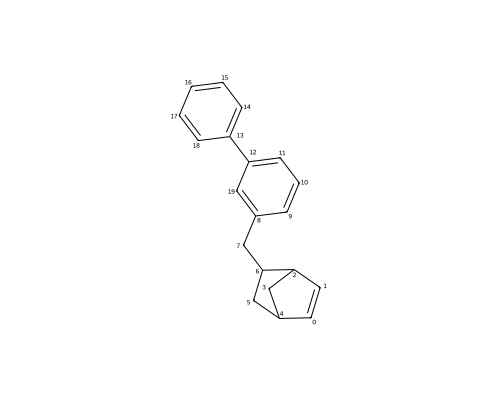 C1=CC2CC1CC2Cc1cccc(-c2ccccc2)c1